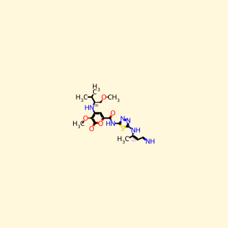 COC[C@@H](Nc1cc(C(=O)Nc2nnc(N/C(C)=C\C=N)s2)oc(=O)c1OC)C(C)C